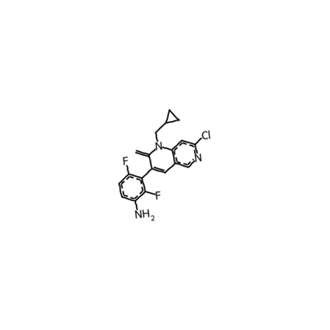 C=C1C(c2c(F)ccc(N)c2F)=Cc2cnc(Cl)cc2N1CC1CC1